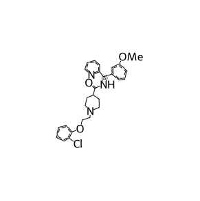 COc1cccc([C@H](NC(=O)C2CCN(CCOc3ccccc3Cl)CC2)c2ccccn2)c1